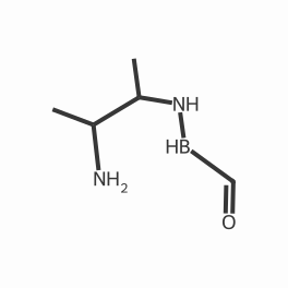 CC(N)C(C)NBC=O